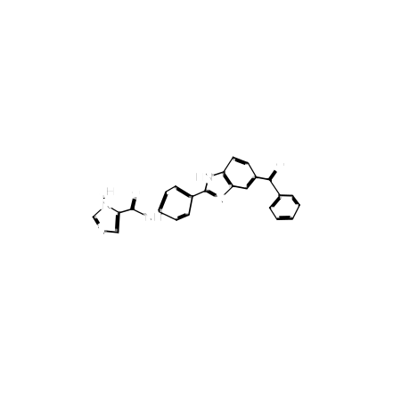 Cn1cncc1C(=O)Nc1ccc(-c2nc3cc(C(=O)c4ccccc4)ccc3[nH]2)cc1